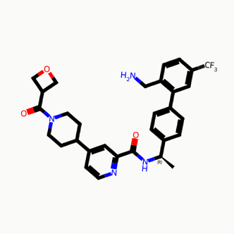 C[C@@H](NC(=O)c1cc(C2CCN(C(=O)C3COC3)CC2)ccn1)c1ccc(-c2cc(C(F)(F)F)ccc2CN)cc1